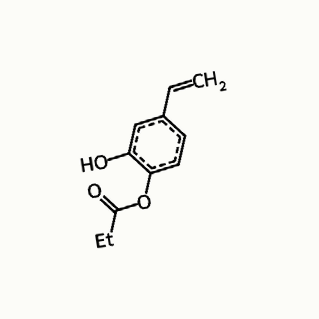 C=Cc1ccc(OC(=O)CC)c(O)c1